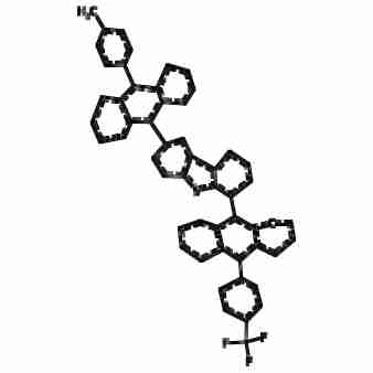 Cc1ccc(-c2c3ccccc3c(-c3ccc4sc5c(-c6c7ccccc7c(-c7ccc(C(F)(F)F)cc7)c7ccccc67)cccc5c4c3)c3ccccc23)cc1